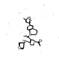 CC(=O)N1CCC(NC2COC2)=C(C(=N)N2CCCc3cc(-c4cc(C)[nH]n4)ccc32)C1